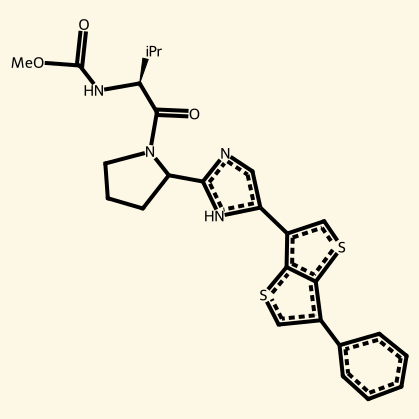 COC(=O)N[C@H](C(=O)N1CCCC1c1ncc(-c2csc3c(-c4ccccc4)csc23)[nH]1)C(C)C